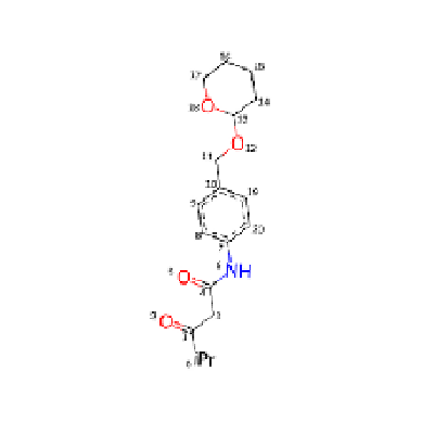 CC(C)C(=O)CC(=O)Nc1ccc(COC2CCCCO2)cc1